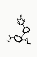 CCOc1ccc(C(C)=O)cc1-c1cccc(-c2nn[nH]n2)c1